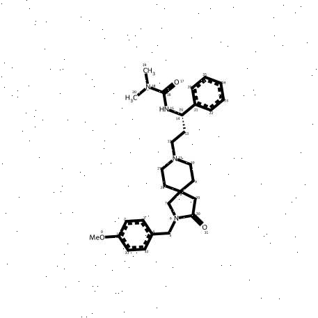 COc1ccc(CN2CC3(CCN(CC[C@H](NC(=O)N(C)C)c4ccccc4)CC3)CC2=O)cc1